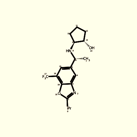 CC(C)c1nc2cc([C@@H](C)N[C@H]3CCC[C@@H]3O)cc(C(F)(F)F)c2o1